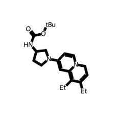 CCC1=CCN2C=CC(N3CCC(NC(=O)OC(C)(C)C)C3)=CC2=C1CC